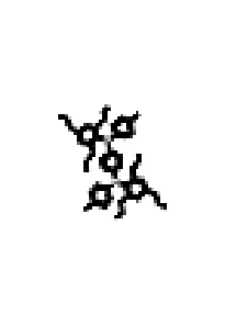 CCCc1cc(CCC)c(N(c2ccc(C)cc2)c2ccc(N(c3ccc(C)cc3)c3c(CCC)cc(CCC)cc3CCC)cc2)c(CCC)c1